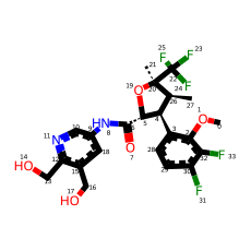 COc1c([C@H]2[C@H](C(=O)Nc3cnc(CO)c(CO)c3)O[C@@](C)(C(F)(F)F)[C@H]2C)ccc(F)c1F